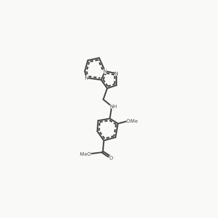 COC(=O)c1ccc(NCc2cnn3cccnc23)c(OC)c1